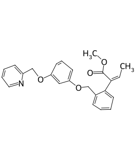 CC=C(C(=O)OC)c1ccccc1COc1cccc(OCc2ccccn2)c1